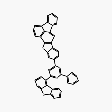 c1ccc(-c2nc(-c3ccc4c(c3)sc3c5cccc6c5c(cc43)-c3ccccc3-6)nc(-c3cccc4oc5ccccc5c34)n2)cc1